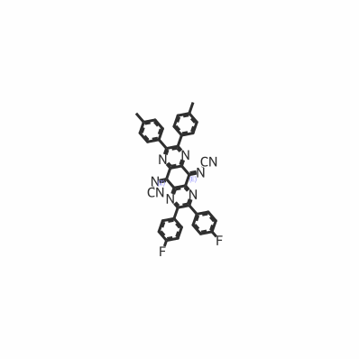 Cc1ccc(-c2nc3c(nc2-c2ccc(C)cc2)/C(=N\C#N)c2nc(-c4ccc(F)cc4)c(-c4ccc(F)cc4)nc2/C3=N\C#N)cc1